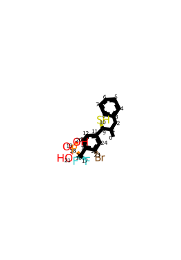 CC(Cc1ccccc1)C(S)c1ccc(C(F)(F)P(=O)(O)O)c(Br)c1